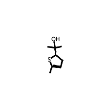 CC1=CCC(C(C)(C)O)S1